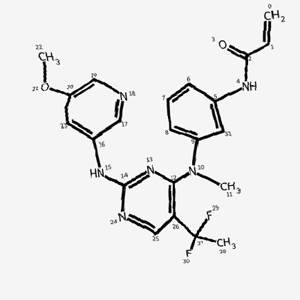 C=CC(=O)Nc1cccc(N(C)c2nc(Nc3cncc(OC)c3)ncc2C(C)(F)F)c1